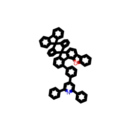 c1ccc(-c2cc(-c3cccc(-c4cccc5c4-c4c(ccc6c4oc4ccccc46)C54c5ccccc5C5(c6ccccc6-c6ccccc65)c5ccccc54)c3)cc(-c3ccccc3)n2)cc1